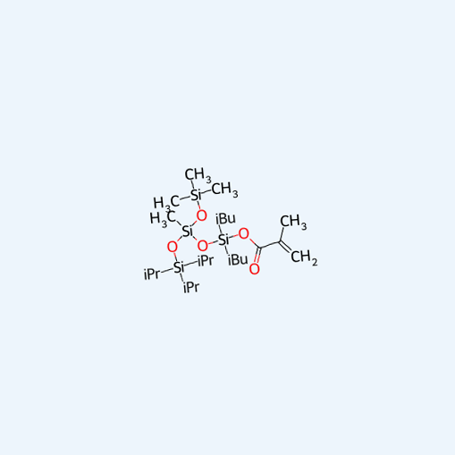 C=C(C)C(=O)O[Si](O[Si](C)(O[Si](C)(C)C)O[Si](C(C)C)(C(C)C)C(C)C)(C(C)CC)C(C)CC